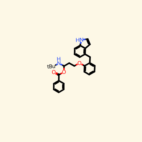 CC(C)(C)NC(CCOc1ccccc1Cc1cccc2[nH]ccc12)OC(=O)c1ccccc1